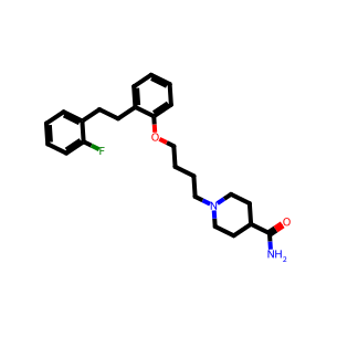 NC(=O)C1CCN(CCCCOc2ccccc2CCc2ccccc2F)CC1